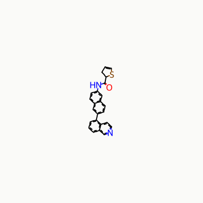 O=C(Nc1ccc2cc(-c3cccc4cnccc34)ccc2c1)C1CC=CS1